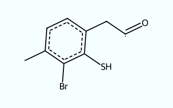 Cc1ccc(C[C]=O)c(S)c1Br